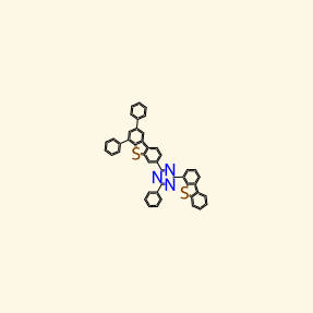 c1ccc(-c2cc(-c3ccccc3)c3sc4cc(-c5nc(-c6ccccc6)nc(-c6cccc7c6sc6ccccc67)n5)ccc4c3c2)cc1